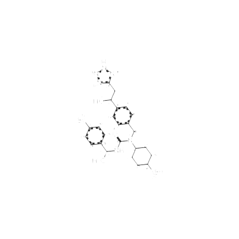 C[C@H](NC(=O)N(Cc1ccc(C(O)Cc2nn[nH]n2)cc1)C1CCC(C(C)(C)C)CC1)c1ccc(Br)cc1